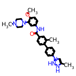 COc1ccc(NC(=O)c2ccc(-c3ccc(N4C=C(C)NN4)cc3)c(C)c2)cc1N1CCN(C)CC1